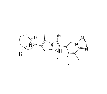 Cc1c(-c2[nH]c3sc(C4C[C@H]5CCC[C@@H]4N5)c(C)c3c2C(C)C)cn2ncnc2c1C